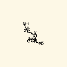 CNCCCNC(=O)c1ccc(C#Cc2cc(-c3nn(CCCN4CCSCC4)c4c3CN(C(N)=O)CC4)ccc2Cl)cc1